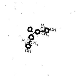 CC(C)(c1ccc(O)cc1)c1ccc(N(c2ccccc2)c2ccc(C(C)(C)c3ccc(O)cc3)cc2)cc1